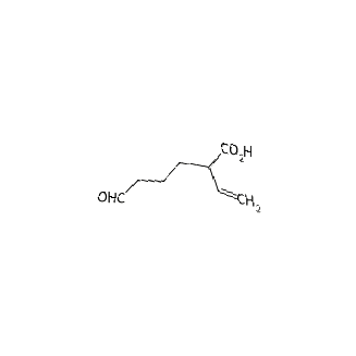 C=CC(CCCC=O)C(=O)O